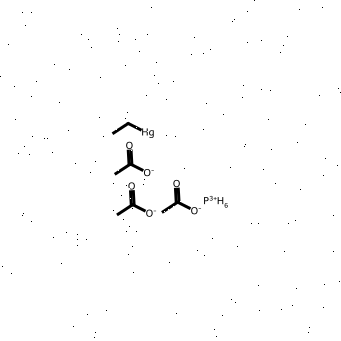 CC(=O)[O-].CC(=O)[O-].CC(=O)[O-].C[CH2][Hg].[PH6+3]